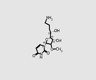 COC1[C@@H](O)[C@@H]([C@@H](O)CCCN)O[C@H]1n1ccc(=O)[nH]c1=O